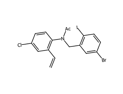 C=Cc1cc(Cl)ccc1N(Cc1cc(Br)ccc1I)C(C)=O